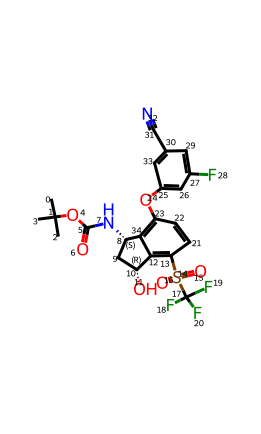 CC(C)(C)OC(=O)N[C@H]1C[C@@H](O)c2c(S(=O)(=O)C(F)(F)F)ccc(Oc3cc(F)cc(C#N)c3)c21